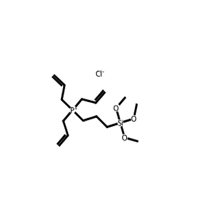 C=CC[P+](CC=C)(CC=C)CCC[Si](OC)(OC)OC.[Cl-]